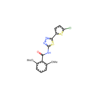 COc1cccc(OC)c1C(=O)Nc1nnc(-c2ccc(Cl)s2)s1